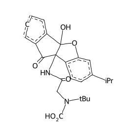 CC(C)c1ccc2c(c1)OC1(O)c3ccccc3C(=O)C21NC(=O)CN(C(=O)O)C(C)(C)C